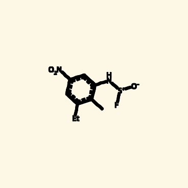 CCc1cc([N+](=O)[O-])cc(N[S+]([O-])F)c1C